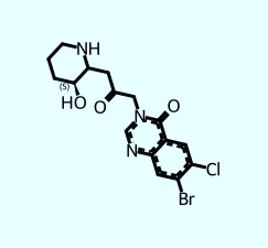 O=C(CC1NCCC[C@@H]1O)Cn1cnc2cc(Br)c(Cl)cc2c1=O